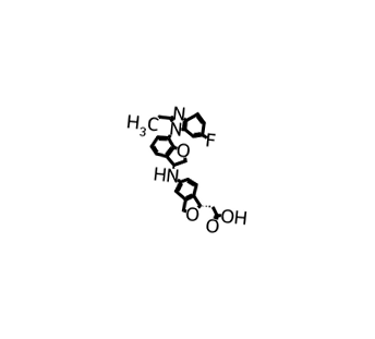 CCc1nc2ccc(F)cc2n1-c1cccc2c1OC[C@H]2Nc1ccc2c(c1)CO[C@H]2CC(=O)O